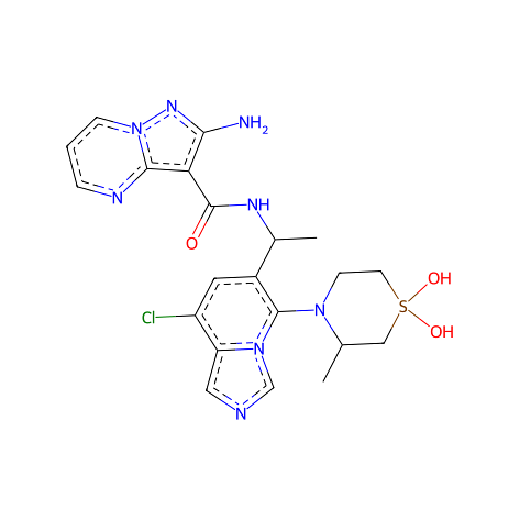 CC(NC(=O)c1c(N)nn2cccnc12)c1cc(Cl)c2cncn2c1N1CCS(O)(O)CC1C